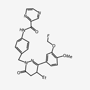 CCC1CC(=O)N(Cc2ccc(NC(=O)c3cnccn3)cc2)N=C1c1ccc(OC)c(OCF)c1